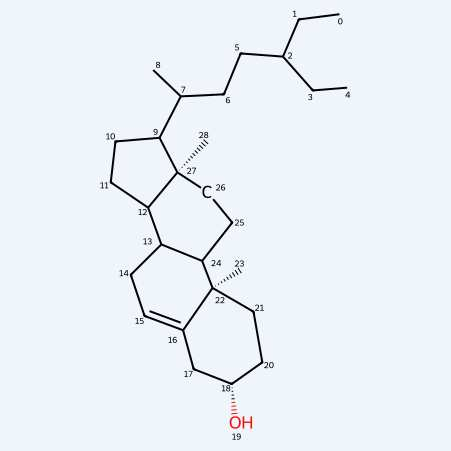 CCC(CC)CCC(C)C1CCC2C3CC=C4C[C@@H](O)CC[C@]4(C)C3CC[C@]12C